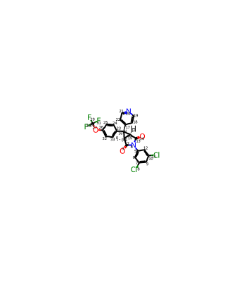 C[C@@]12C(=O)N(c3cc(Cl)cc(Cl)c3)C(=O)[C@@H]1[C@@]2(c1ccncc1)c1ccc(OC(F)(F)F)cc1